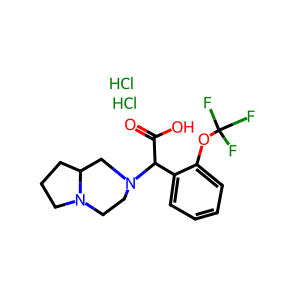 Cl.Cl.O=C(O)C(c1ccccc1OC(F)(F)F)N1CCN2CCCC2C1